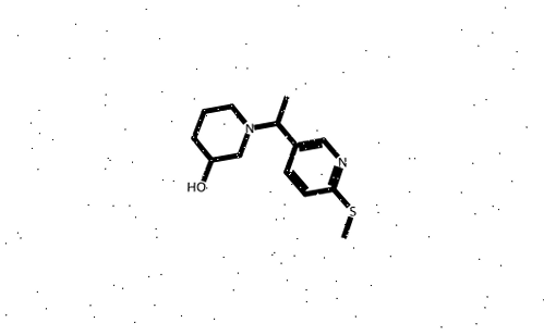 CSc1ccc(C(C)N2CCCC(O)C2)cn1